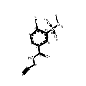 C#CCNC(=O)c1ccc(F)c(S(=O)(=O)OC)c1